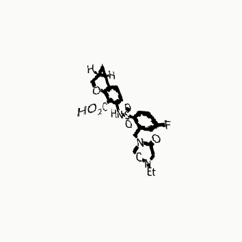 CCN1CCN(Cc2cc(F)ccc2S(=O)(=O)Nc2ccc3c(c2C(=O)O)OC[C@@H]2C[C@H]32)C(=O)C1